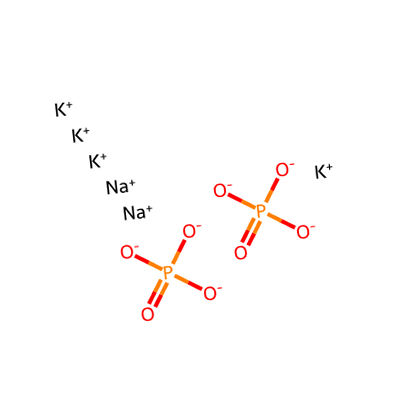 O=P([O-])([O-])[O-].O=P([O-])([O-])[O-].[K+].[K+].[K+].[K+].[Na+].[Na+]